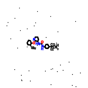 CCC(C)(C(=O)O)c1ccc(NC(=O)Nc2cccnc2Oc2ccccc2C(C)(C)C)cc1